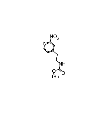 CC(C)(C)OC(=O)NCCc1ccnc([N+](=O)[O-])c1